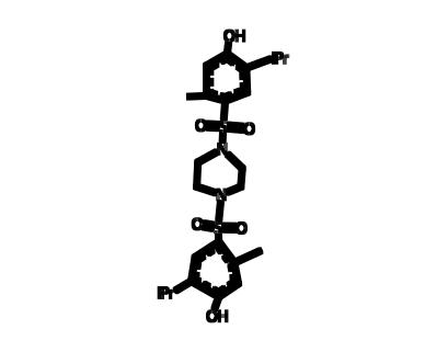 Cc1cc(O)c(C(C)C)cc1S(=O)(=O)N1CCN(S(=O)(=O)c2cc(C(C)C)c(O)cc2C)CC1